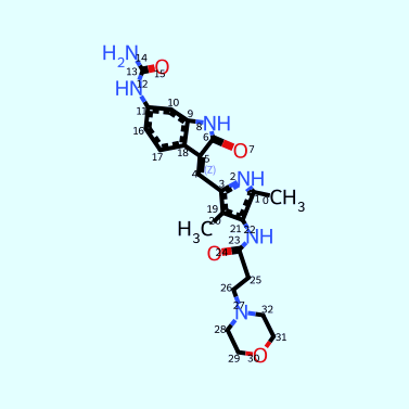 Cc1[nH]c(/C=C2\C(=O)Nc3cc(NC(N)=O)ccc32)c(C)c1NC(=O)CCN1CCOCC1